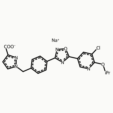 CC(C)Oc1ncc(-c2nc(-c3ccc(Cn4ccc(C(=O)[O-])n4)cc3)no2)cc1Cl.[Na+]